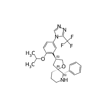 CC(C)Oc1ccc(-n2cnnc2C(F)(F)F)cc1[C@H]1CO[C@]2(CCCN[C@H]2c2ccccc2)C1